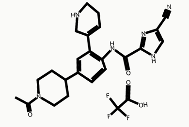 CC(=O)N1CCC(c2ccc(NC(=O)c3nc(C#N)c[nH]3)c(C3=CCCNC3)c2)CC1.O=C(O)C(F)(F)F